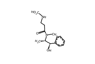 C[C@H]([C@H](O)c1ccccc1)N(C)C(=O)CCNC(=O)O